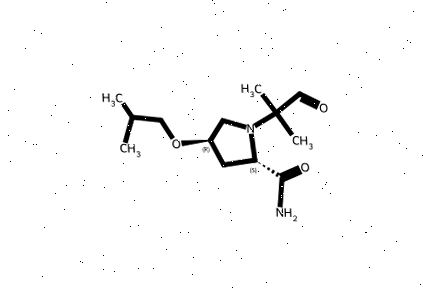 CC(C)CO[C@@H]1C[C@@H](C(N)=O)N(C(C)(C)C=O)C1